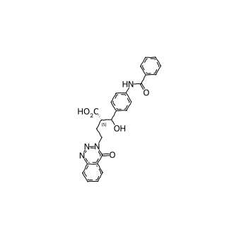 O=C(Nc1ccc(C(O)[C@H](CCn2nnc3ccccc3c2=O)C(=O)O)cc1)c1ccccc1